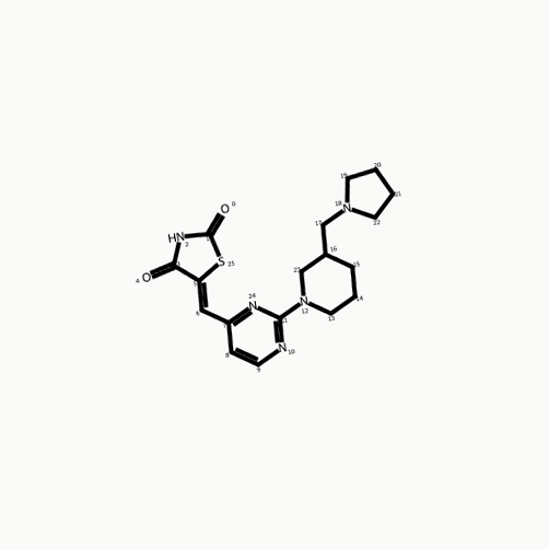 O=C1NC(=O)C(=Cc2ccnc(N3CCCC(CN4CCCC4)C3)n2)S1